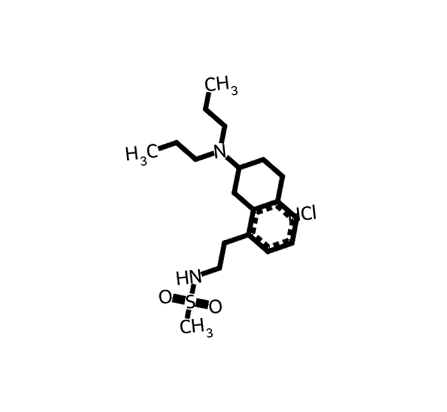 CCCN(CCC)C1CCc2cccc(CCNS(C)(=O)=O)c2C1.Cl